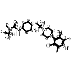 [2H]c1c([2H])c(C)c(Cl)c(N2CCN(C([2H])([2H])C[C@H]3CC[C@H](NC(=O)N(C)C([2H])([2H])[2H])CC3)CC2)c1[2H]